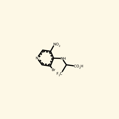 O=C(O)C(Nc1c(Br)cncc1[N+](=O)[O-])C(F)(F)F